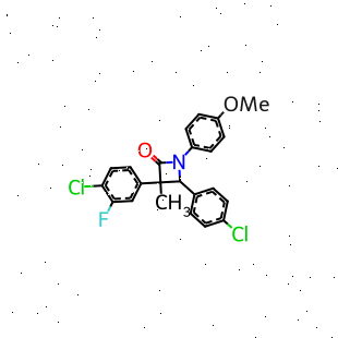 COc1ccc(N2C(=O)C(C)(c3ccc(Cl)c(F)c3)C2c2ccc(Cl)cc2)cc1